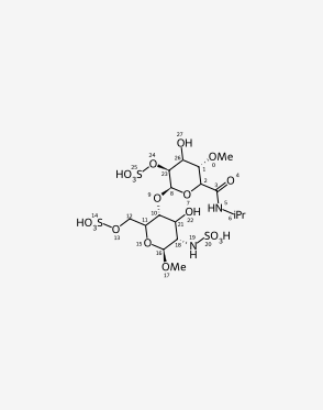 CO[C@@H]1C(C(=O)NC(C)C)O[C@@H](O[C@H]2C(COS(=O)(=O)O)O[C@H](OC)[C@@H](NS(=O)(=O)O)C2O)[C@@H](OS(=O)(=O)O)C1O